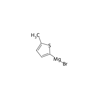 Cc1cc[c]([Mg][Br])s1